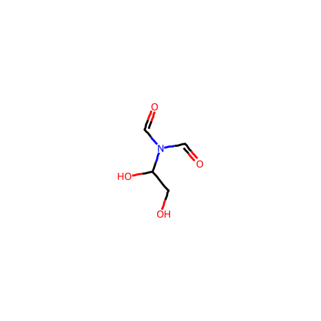 O=CN(C=O)C(O)CO